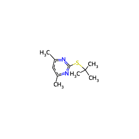 Cc1cc(C)nc(SC(C)(C)C)n1